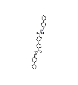 O=C(N/N=C/c1ccc(-c2ccccc2)cc1)c1ccc(-c2ccc(C(=O)N/N=C/c3ccc(-c4ccccc4)cc3)cc2)cc1